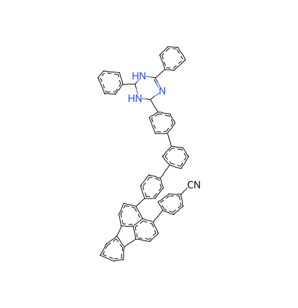 N#Cc1ccc(-c2ccc3c4c(ccc(-c5ccc(-c6cccc(-c7ccc(C8N=C(c9ccccc9)NC(c9ccccc9)N8)cc7)c6)cc5)c24)-c2ccccc2-3)cc1